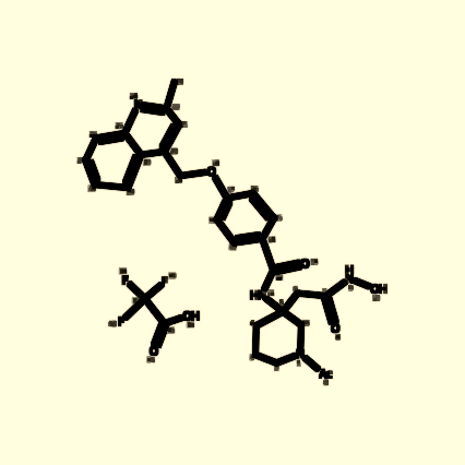 CC(=O)N1CCCC(CC(=O)NO)(NC(=O)c2ccc(OCc3cc(C)nc4ccccc34)cc2)C1.O=C(O)C(F)(F)F